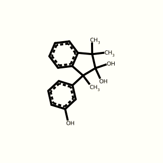 CC1(C)c2ccccc2C(C)(c2cccc(O)c2)C1(O)O